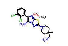 CC1(CN)CCN(c2nn3c(N)c(-c4cccc(Cl)c4Cl)nc3s2)CC1.O=CO